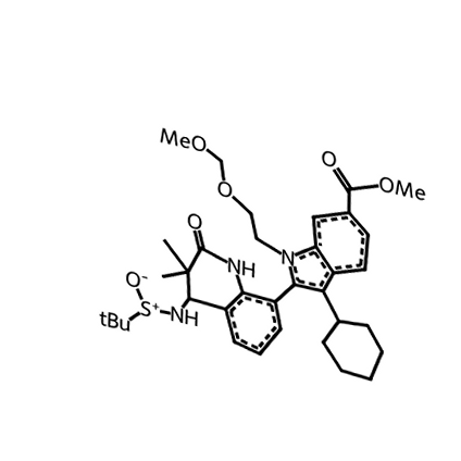 COCOCCn1c(-c2cccc3c2NC(=O)C(C)(C)C3N[S+]([O-])C(C)(C)C)c(C2CCCCC2)c2ccc(C(=O)OC)cc21